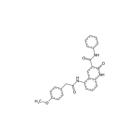 COc1ccc(CC(=O)Nc2cccc3[nH]c(=O)c(C(=O)Nc4ccccc4)cc23)cc1